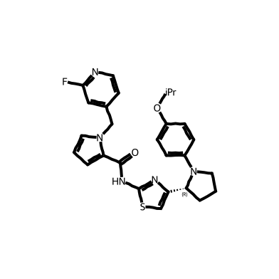 CC(C)Oc1ccc(N2CCC[C@@H]2c2csc(NC(=O)c3cccn3Cc3ccnc(F)c3)n2)cc1